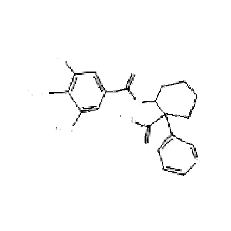 CNC(=S)C1(c2cccnc2)CCCCC1OC(=O)c1cc(OC)c(OC)c(OC)c1